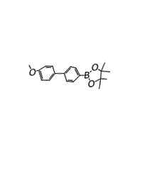 COc1ccc(-c2ccc(B3OC(C)(C)C(C)(C)O3)cc2)cc1